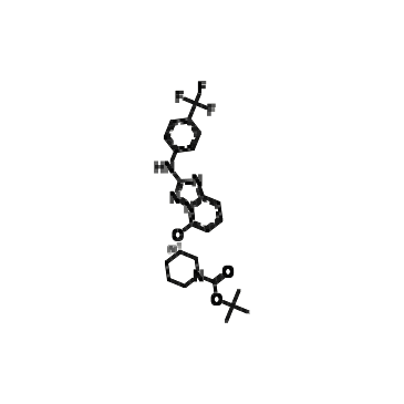 CC(C)(C)OC(=O)N1CCC[C@H](Oc2cccc3nc(Nc4ccc(C(F)(F)F)cc4)nn23)C1